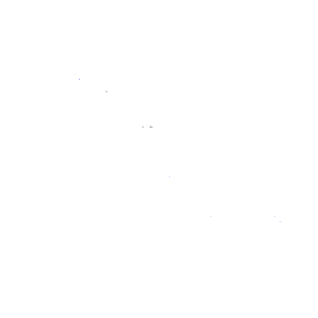 C=CC(=O)Nc1cccc(S(=O)(=O)c2ccc(N3CC(CN4CCC(C5(C6CCCC6)NCCc6ccccc65)CC4)C3)cc2)c1